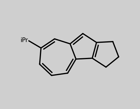 CC(C)c1cccc2c3c(cc-2c1)CCC3